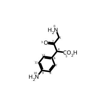 NCC(=O)C(C(=O)O)c1ccc(N)cc1